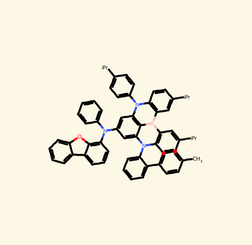 Cc1ccc(-c2ccccc2N2c3ccc(C(C)C)cc3B3c4cc(C(C)C)ccc4N(c4ccc(C(C)C)cc4)c4cc(N(c5ccccc5)c5cccc6c5oc5ccccc56)cc2c43)cc1